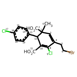 CC1(C(=O)O)C=C(CCBr)C(Cl)=C(C(=O)O)C1c1ccc(Cl)cc1